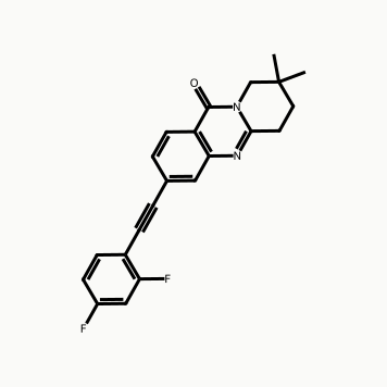 CC1(C)CCc2nc3cc(C#Cc4ccc(F)cc4F)ccc3c(=O)n2C1